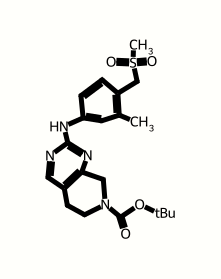 Cc1cc(Nc2ncc3c(n2)CN(C(=O)OC(C)(C)C)CC3)ccc1CS(C)(=O)=O